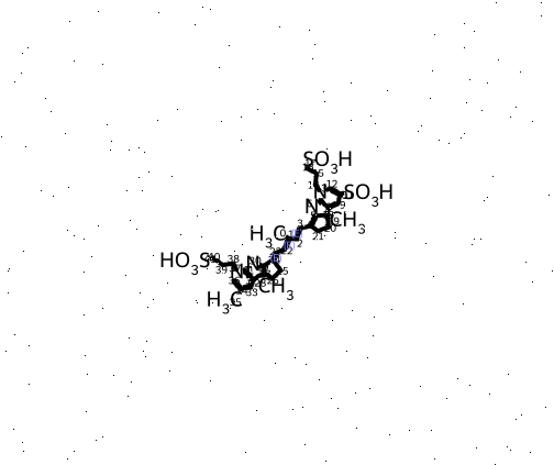 CC(/C=C/C1=C2N=C3C(=CC(S(=O)(=O)O)=CN3CCCS(=O)(=O)O)C2(C)CC1)=C\C=C1/CCC2(C)C1=Nc1c2cc(C)c[n+]1CCCS(=O)(=O)O